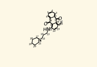 O=C1c2ccccc2C(=O)c2c(NCCCN3CCCCC3)ccc(F)c21